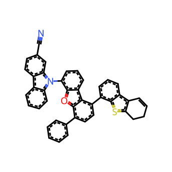 N#Cc1ccc2c3ccccc3n(-c3cccc4c3oc3c(-c5ccccc5)ccc(-c5cccc6c7c(sc56)CCC=C7)c34)c2c1